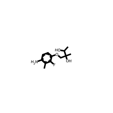 Cc1c(N)ccc(OCC(C)(O)C(C)O)c1F